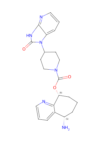 N[C@H]1CCC[C@@H](OC(=O)N2CCC(n3c(=O)[nH]c4ncccc43)CC2)c2ncccc21